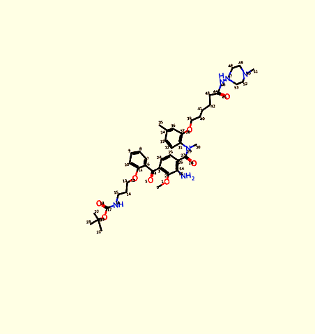 COc1c(C(=O)c2ccccc2OCCCNC(=O)OC(C)(C)C)ccc(C(=O)N(C)c2ccc(C)cc2OCCCCCC(=O)NN2CCN(C)CC2)c1N